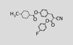 CC1CCC(C(=O)Oc2ccc(C=C(C#N)C(=O)Oc3ccc(F)cc3)cc2)CC1